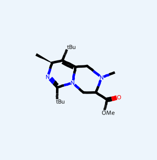 COC(=O)C1CN2C(C(C)(C)C)=N[C@@H](C)C(C(C)(C)C)=C2CN1C